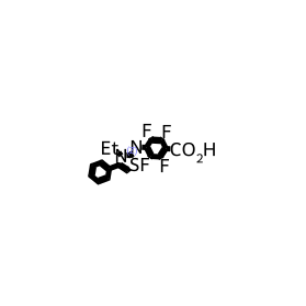 CCn1c(-c2ccccc2)cs/c1=N\c1c(F)c(F)c(C(=O)O)c(F)c1F